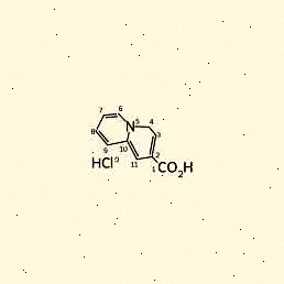 Cl.O=C(O)C1=CCN2C=CC=CC2=C1